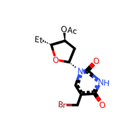 CC[C@H]1O[C@@H](n2cc(CBr)c(=O)[nH]c2=O)C[C@@H]1OC(C)=O